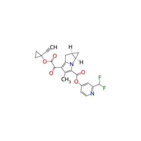 C#CC1(OC(=O)C(=O)c2c(C)c(C(=O)Oc3ccnc(C(F)F)c3)n3c2C[C@H]2C[C@H]23)CC1